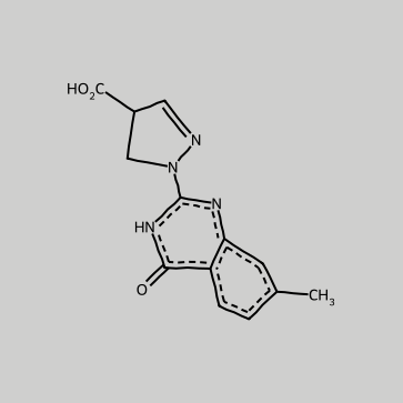 Cc1ccc2c(=O)[nH]c(N3CC(C(=O)O)C=N3)nc2c1